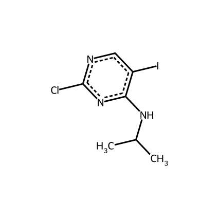 CC(C)Nc1nc(Cl)ncc1I